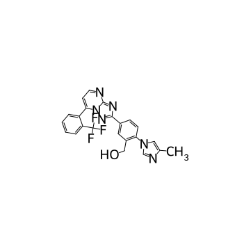 Cc1cn(-c2ccc(-c3nc4nccc(-c5ccccc5C(F)(F)F)n4n3)cc2CO)cn1